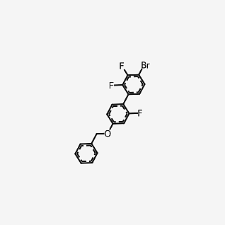 Fc1cc(OCc2ccccc2)ccc1-c1ccc(Br)c(F)c1F